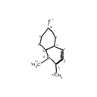 CC1C=CC2C[C@@H](F)CCC2N1C